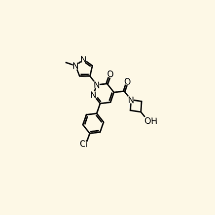 Cn1cc(-n2nc(-c3ccc(Cl)cc3)cc(C(=O)N3CC(O)C3)c2=O)cn1